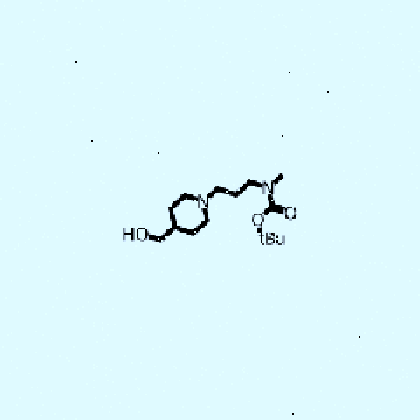 CN(CCCN1CCC(CO)CC1)C(=O)OC(C)(C)C